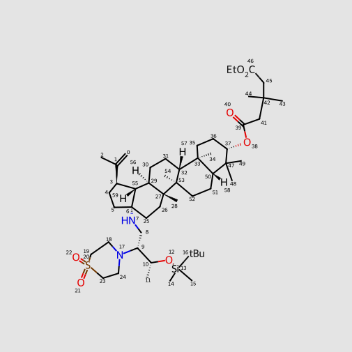 C=C(C)[C@@H]1CC[C@]2(NC[C@H]([C@@H](C)O[Si](C)(C)C(C)(C)C)N3CCS(=O)(=O)CC3)CC[C@]3(C)[C@H](CC[C@@H]4[C@@]5(C)CC[C@H](OC(=O)CC(C)(C)CC(=O)OCC)C(C)(C)[C@@H]5CC[C@]43C)[C@@H]12